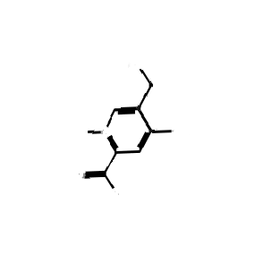 Cc1cc(C(=N)N)[n+](O)cc1CC(C)C